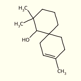 CC1=CCC2(CCCC(C)(C)C2O)CC1